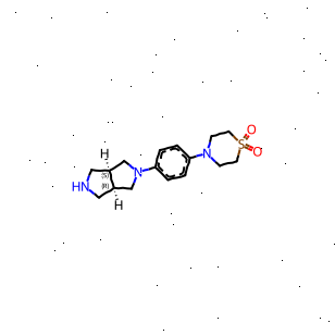 O=S1(=O)CCN(c2ccc(N3C[C@H]4CNC[C@H]4C3)cc2)CC1